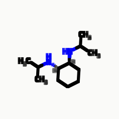 CC(C)N[C@H]1CCCC[C@@H]1NC(C)C